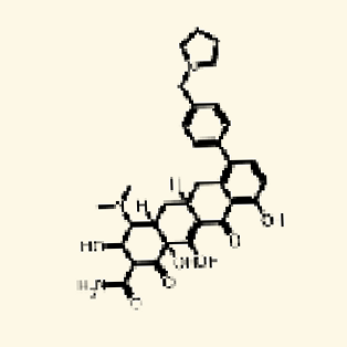 CN(C)C1C(O)C(C(N)=O)C(=O)[C@@]2(O)C(O)=C3C(=O)c4c(O)ccc(-c5ccc(CN6CCCC6)cc5)c4C[C@H]3C[C@@H]12